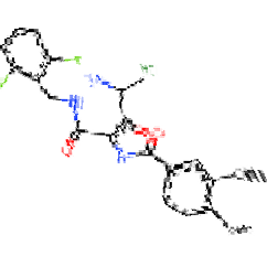 COc1ccc(-c2nc(C(=O)NCc3c(F)cccc3F)c(C(C)N)o2)cc1OC.Cl